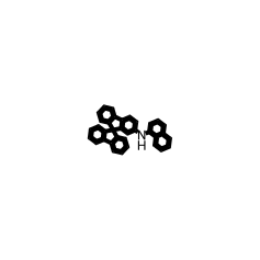 c1ccc2c(c1)-c1ccccc1C21c2ccccc2-c2ccc(Nc3cccc4ccccc34)cc21